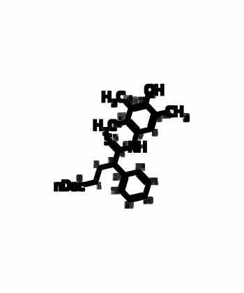 CCCCCCCCCCCCC(C(=S)Nc1cc(C)c(O)c(C)c1C)c1ccccc1